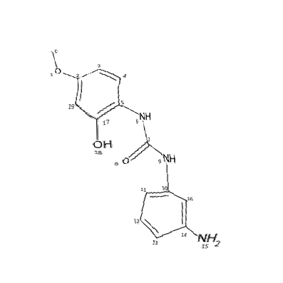 COc1ccc(NC(=O)Nc2cccc(N)c2)c(O)c1